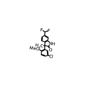 COc1ccc(Cl)cc1C1(C)C(=O)Nc2cc(C(F)F)ccc21